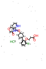 Cl.O=C(O)CCOc1c(F)cccc1C1CCC(OC[C@@H]2NCCC[C@@]23COCC(=O)N3)CC1